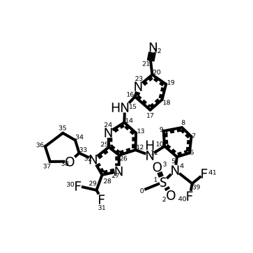 CS(=O)(=O)N(c1ccccc1Nc1cc(Nc2cccc(C#N)n2)nc2c1nc(C(F)F)n2C1CCCCO1)C(F)F